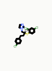 CC(CCc1ccc(Cl)cc1)(Cn1ccnc1)Sc1ccc(Cl)cc1Cl